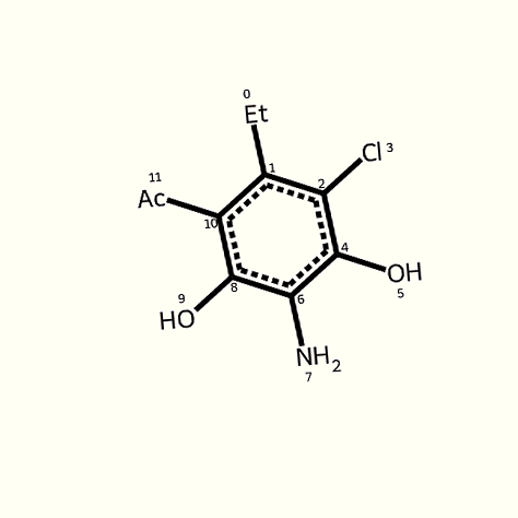 CCc1c(Cl)c(O)c(N)c(O)c1C(C)=O